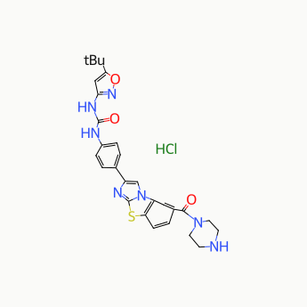 CC(C)(C)c1cc(NC(=O)Nc2ccc(-c3cn4c(n3)sc3ccc(C(=O)N5CCNCC5)cc34)cc2)no1.Cl